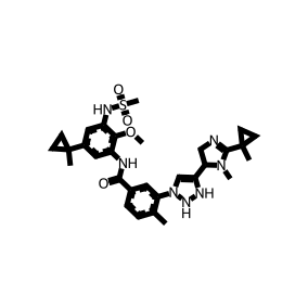 COc1c(NC(=O)c2ccc(C)c(N3C=C(C4CN=C(C5(C)CC5)N4C)NN3)c2)cc(C2(C)CC2)cc1NS(C)(=O)=O